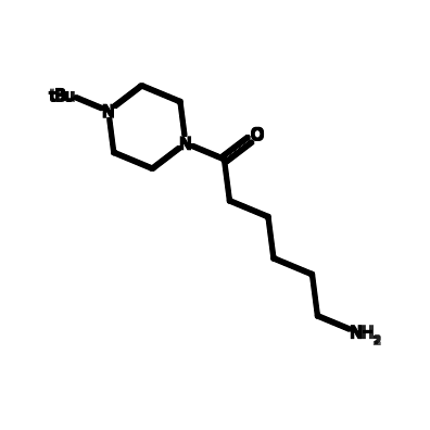 CC(C)(C)N1CCN(C(=O)CCCCCN)CC1